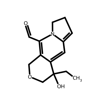 CCC1(O)COCC2=C(C=O)N3CCC=C3C=C21